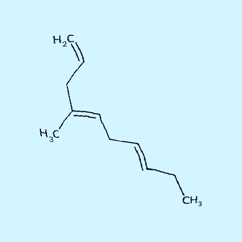 C=CCC(C)=CCC=CCC